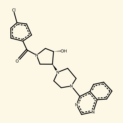 O=C(c1ccc(Cl)cc1)N1C[C@H](O)[C@@H](N2CCN(c3ncnc4ccccc34)CC2)C1